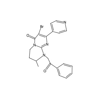 CC1CCn2c(nc(-c3ccncc3)c(Br)c2=O)N1CC(=O)c1ccccc1